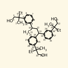 CCC(C)(CO)c1cccc(C(C)CC(c2cccc(C(C)(CC)CO)c2)c2cccc(C(C)(CC)CO)c2)c1